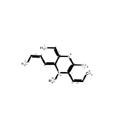 C\C=C/C=C1\C(=C/C)SC(C)=C(/C=C\C)N1C